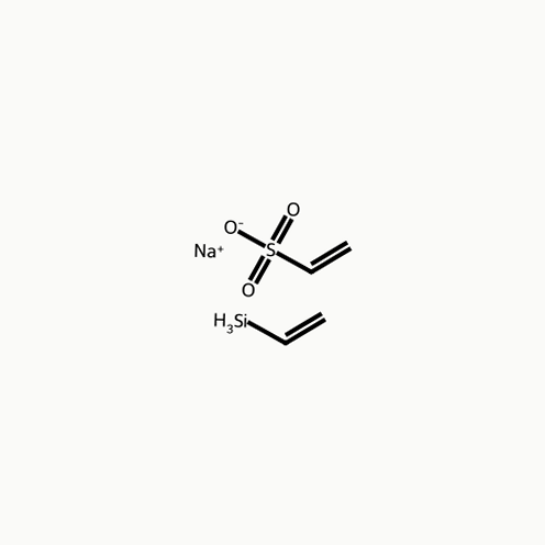 C=CS(=O)(=O)[O-].C=C[SiH3].[Na+]